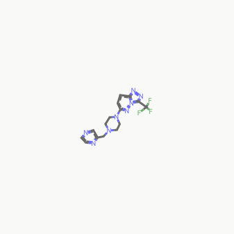 FC(F)(F)c1nnc2ccc(N3CCN(Cc4cnccn4)CC3)nn12